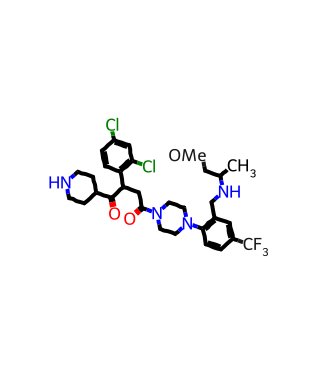 COCC(C)NCc1cc(C(F)(F)F)ccc1N1CCN(C(=O)CC(C(=O)C2CCNCC2)c2ccc(Cl)cc2Cl)CC1